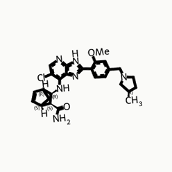 COc1cc(CN2CC[C@@H](C)C2)ccc1-c1nc2c(N[C@H]3[C@@H](C(N)=O)[C@@H]4C=C[C@H]3C4)c(Cl)cnc2[nH]1